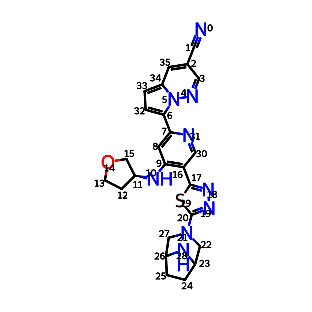 N#Cc1cnn2c(-c3cc(N[C@H]4CCOC4)c(-c4nnc(N5CC6CCC(C5)N6)s4)cn3)ccc2c1